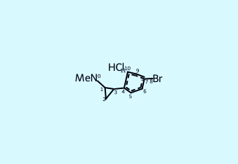 CNC1CC1c1ccc(Br)cc1.Cl